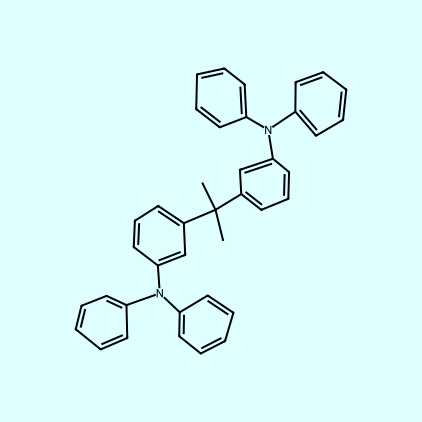 CC(C)(c1cccc(N(c2ccccc2)c2ccccc2)c1)c1cccc(N(c2ccccc2)c2ccccc2)c1